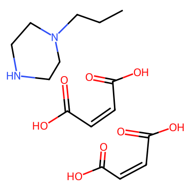 CCCN1CCNCC1.O=C(O)/C=C\C(=O)O.O=C(O)/C=C\C(=O)O